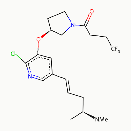 CN[C@@H](C)C/C=C/c1cnc(Cl)c(O[C@H]2CCN(C(=O)CCC(F)(F)F)C2)c1